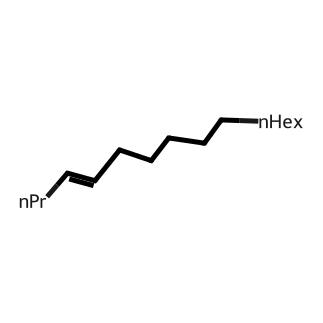 [CH2]CCC=CCCCCCCCCCCC